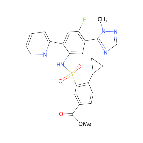 COC(=O)c1ccc(C2CC2)c(S(=O)(=O)Nc2cc(-c3ncnn3C)c(F)cc2-c2ccccn2)c1